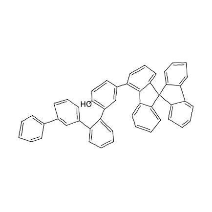 Oc1ccc(-c2cccc3c2-c2ccccc2C32c3ccccc3-c3ccccc32)cc1-c1ccccc1-c1cccc(-c2ccccc2)c1